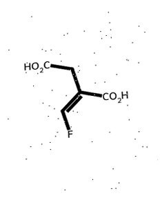 O=C(O)CC(=CF)C(=O)O